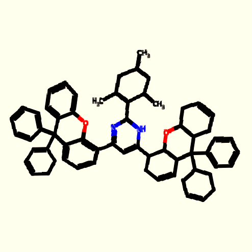 CC1CC(C)C(C2N=C(c3cccc4c3Oc3ccccc3C4(C3=CC=CCC3)c3ccccc3)C=C(C3CC=CC4C3OC3CC=CCC3C4(c3ccccc3)C3CC=CCC3)N2)C(C)C1